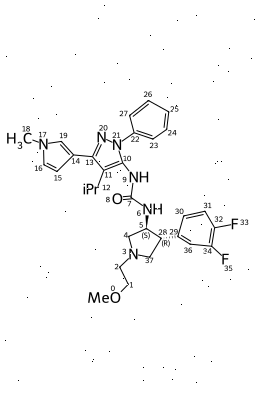 COCCN1C[C@@H](NC(=O)Nc2c(C(C)C)c(-c3ccn(C)c3)nn2-c2ccccc2)[C@H](c2ccc(F)c(F)c2)C1